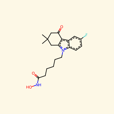 CC1(C)CC(=O)c2c(n(CCCCCC(=O)NO)c3ccc(F)cc23)C1